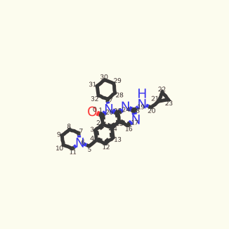 O=c1c2cc(CN3CCCCC3)ccc2c2cnc(NCC3CC3)nc2n1C1CCCCC1